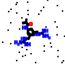 C=C(C)C(=O)Nc1cc(CNC(=N)N)cc(CNC(=N)N)c1